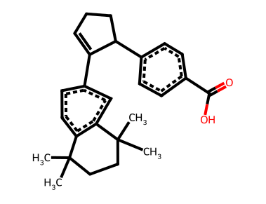 CC1(C)CCC(C)(C)c2cc(C3=CCCC3c3ccc(C(=O)O)cc3)ccc21